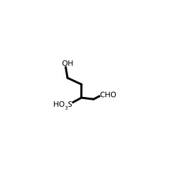 O=CCC(CCO)S(=O)(=O)O